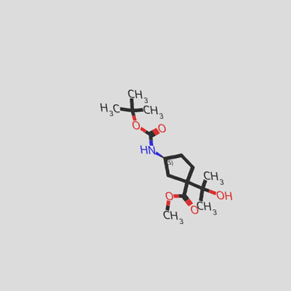 COC(=O)C1(C(C)(C)O)CC[C@H](NC(=O)OC(C)(C)C)C1